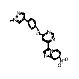 Cn1cc(-c2ccc(CNc3cc(-c4cnc5cc([N+](=O)[O-])ccn45)ncn3)cc2)cn1